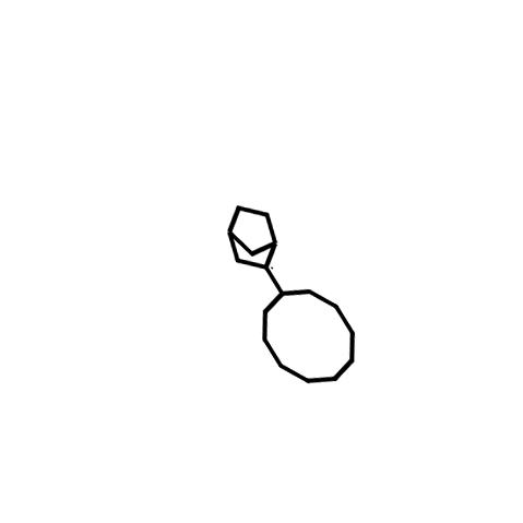 C1CCCCC([C]2CC3CCC2C3)CCCC1